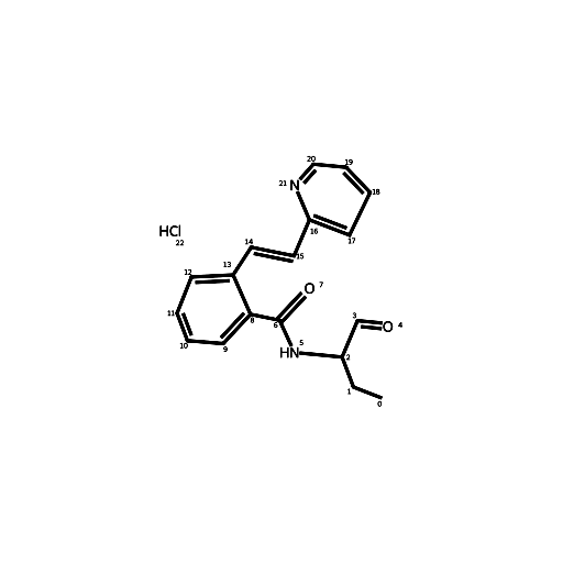 CCC(C=O)NC(=O)c1ccccc1C=Cc1ccccn1.Cl